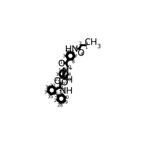 CCCC(=O)Nc1ccc(C(=O)C[N+]23CCC(CC2)[C@@H](OC(=O)[C@H](Nc2ccccc2)c2ccccc2)C3)cc1